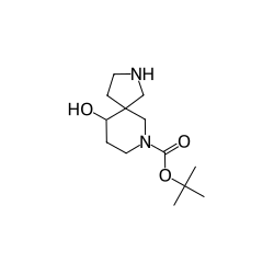 CC(C)(C)OC(=O)N1CCC(O)C2(CCNC2)C1